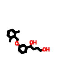 Cc1cccc(C)c1COc1cccc(C(O)CCCO)c1